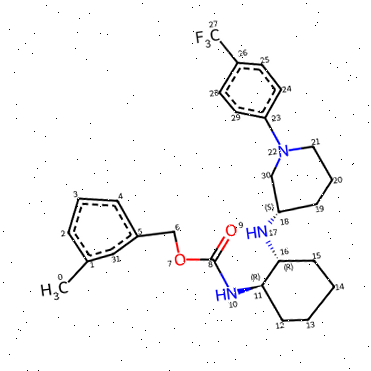 Cc1cccc(COC(=O)N[C@@H]2CCCC[C@H]2N[C@H]2CCCN(c3ccc(C(F)(F)F)cc3)C2)c1